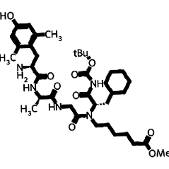 COC(=O)CCCCCN(C(=O)CNC(=O)[C@@H](C)NC(=O)[C@@H](N)Cc1c(C)cc(O)cc1C)[C@@H](CC1CCCCC1)C(=O)NC(=O)OC(C)(C)C